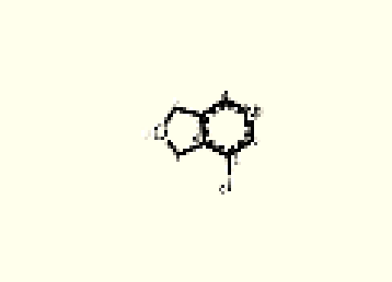 Ic1cncc2c1COC2